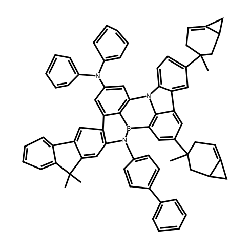 CC1(c2ccc3c(c2)c2cc(C4(C)CC=C5CC5C4)cc4c2n3-c2cc(N(c3ccccc3)c3ccccc3)cc3c2B4N(c2ccc(-c4ccccc4)cc2)c2cc4c(cc2-3)-c2ccccc2C4(C)C)CC=C2CC2C1